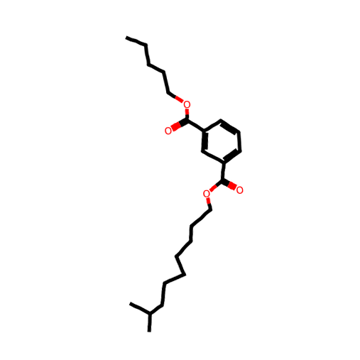 CCCCCOC(=O)c1cccc(C(=O)OCCCCCCCC(C)C)c1